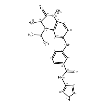 CC(C)N1c2cc(Nc3cccc(C(=O)Nc4cc[nH]n4)c3)ncc2N(C)C(=O)C1C